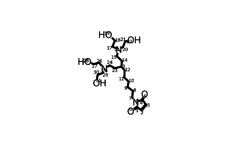 O=C1C=CC(=O)N1CCCCCCC(CCN(CCO)CCO)CCN(CCO)CCO